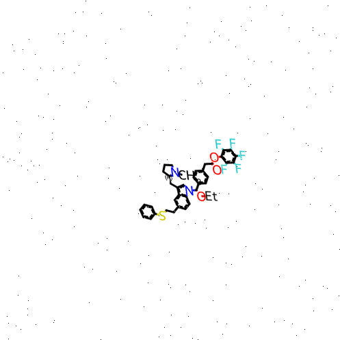 CCOC(c1ccc(CC(=O)Oc2c(F)c(F)c(F)c(F)c2F)cc1)n1cc(C[C@H]2CCCN2C)c2cc(CCSc3ccccc3)ccc21